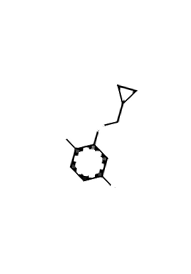 CC(=O)c1ccc(F)c(OCC2CC2)c1